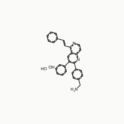 Cl.Cl.NCc1ccc(-c2nc3ccnc(C=Cc4ccccc4)c3cc2-c2ccccc2)cc1